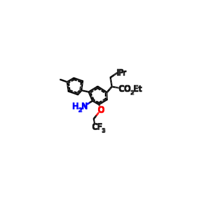 CCOC(=O)C(CC(C)C)c1cc(OCC(F)(F)F)c(N)c(-c2ccc(C)cc2)c1